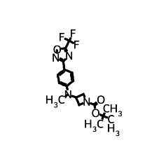 CN(c1ccc(-c2noc(C(F)(F)F)n2)cc1)C1CN(C(=O)OC(C)(C)C)C1